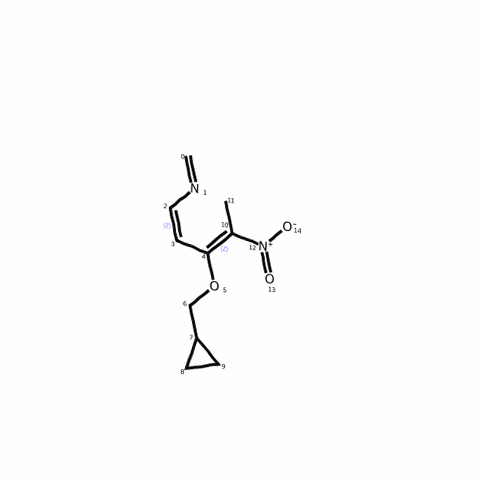 C=N/C=C\C(OCC1CC1)=C(/C)[N+](=O)[O-]